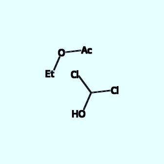 CCOC(C)=O.OC(Cl)Cl